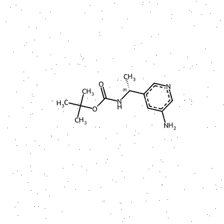 C[C@@H](NC(=O)OC(C)(C)C)c1cncc(N)c1